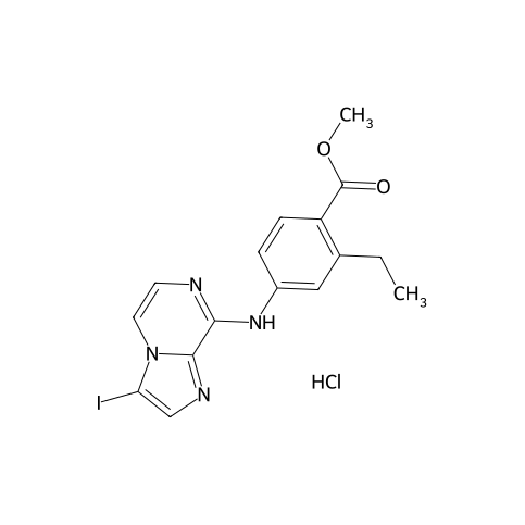 CCc1cc(Nc2nccn3c(I)cnc23)ccc1C(=O)OC.Cl